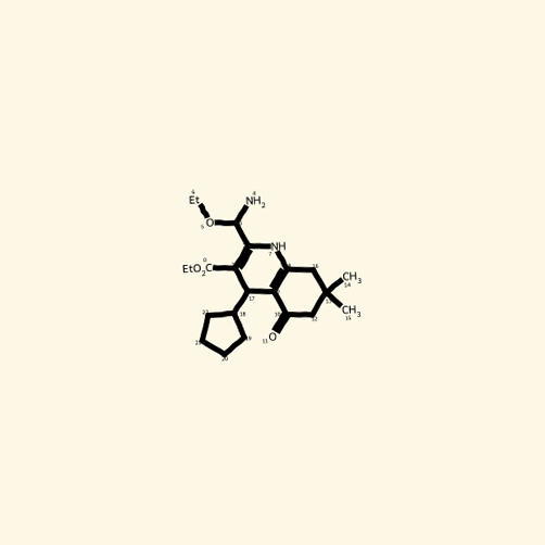 CCOC(=O)C1=C(C(N)OCC)NC2=C(C(=O)CC(C)(C)C2)C1C1CCCC1